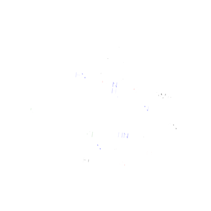 CC1(C(N)=O)CC1(C)C(=O)Nc1cc(Cl)cc(Cl)c1.CCNC(=O)NC(=O)C(C#N)=NOC